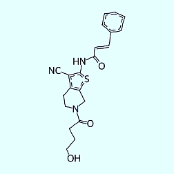 N#Cc1c(NC(=O)C=Cc2ccccc2)sc2c1CCN(C(=O)CCCO)C2